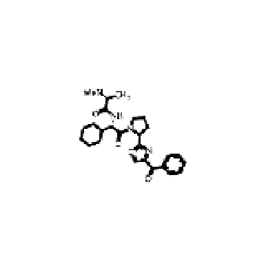 CN[C@@H](C)C(=O)N[C@H](C(=O)N1CCC[C@H]1c1nc(C(=O)c2ccccc2)co1)C1CCCCC1